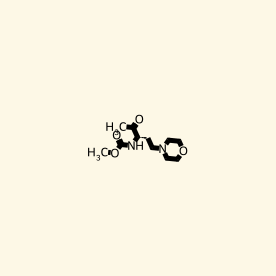 COC(=O)N[C@@H](CCN1CCOCC1)C(C)=O